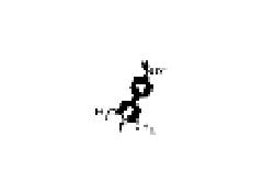 CC1=CC(c2ccc([N+](=O)[O-])cc2)C=C(C)N1I